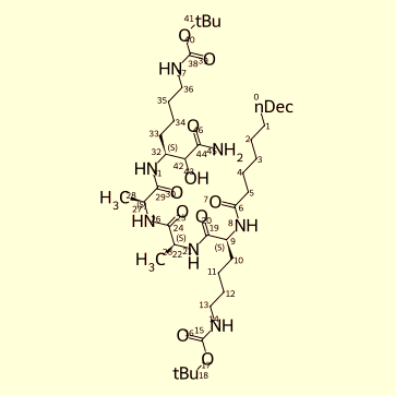 CCCCCCCCCCCCCCCC(=O)N[C@@H](CCCCNC(=O)OC(C)(C)C)C(=O)N[C@@H](C)C(=O)N[C@@H](C)C(=O)N[C@@H](CCCCNC(=O)OC(C)(C)C)C(O)C(N)=O